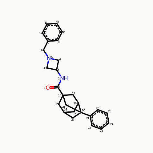 O=C(NC1CN(Cc2ccccc2)C1)C12CC3CC(C1)C(c1ccccc1)(C3)C2